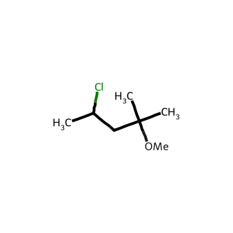 COC(C)(C)CC(C)Cl